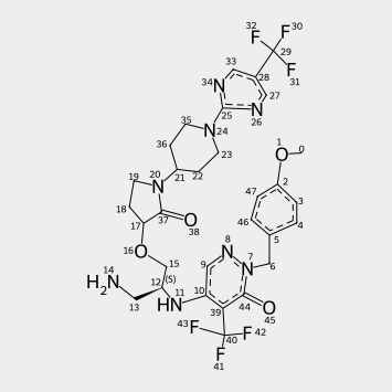 COc1ccc(Cn2ncc(N[C@@H](CN)COC3CCN(C4CCN(c5ncc(C(F)(F)F)cn5)CC4)C3=O)c(C(F)(F)F)c2=O)cc1